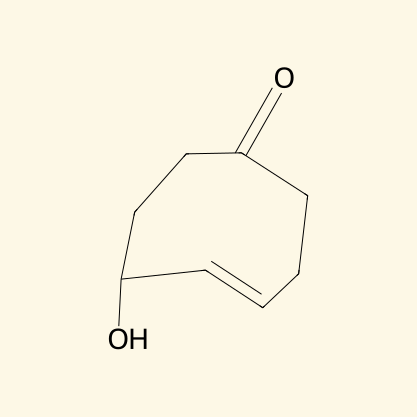 O=C1CC/C=C/C(O)CC1